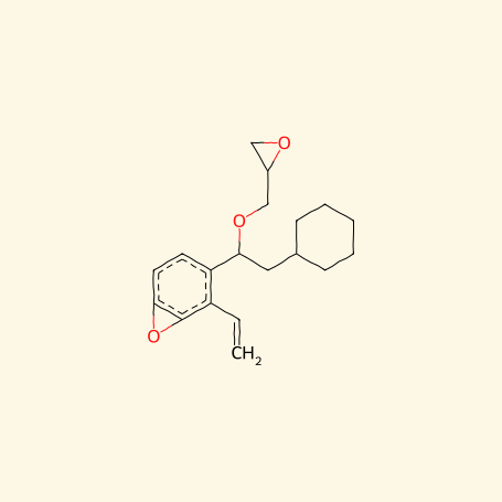 C=Cc1c(C(CC2CCCCC2)OCC2CO2)ccc2c1O2